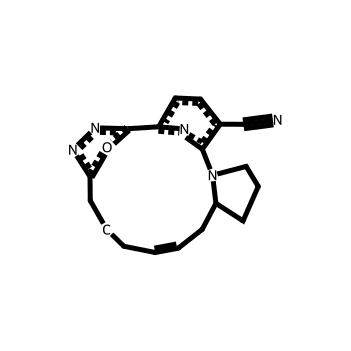 N#Cc1ccc2nc1N1CCCC1CC=CCCCc1nnc-2o1